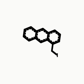 ICc1cccc2cc3ccccc3cc12